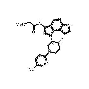 COCC(=O)Nc1nn([C@H]2CN(c3ccc(C#N)nn3)CC[C@H]2C)c2c1cnc1[nH]ccc12